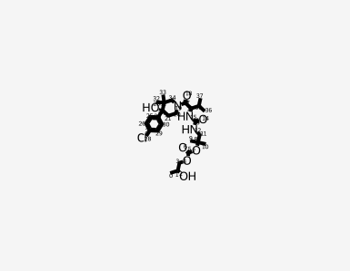 CC(O)COC(=O)OC(C)(C)CNC(=O)NC(C(=O)N1CC[C@](O)(c2ccc(Cl)cc2)C(C)(C)C1)C(C)C